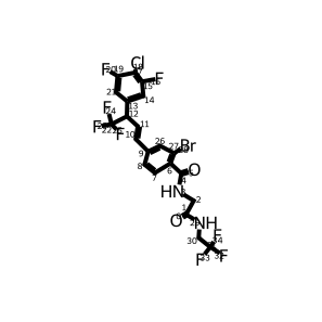 O=C(CNC(=O)c1ccc(/C=C/C(c2cc(F)c(Cl)c(F)c2)C(F)(F)F)cc1Br)NCC(F)(F)F